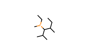 CCC(C)C(C(C)C)P(C)CC